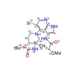 COCC(=O)Nc1c[nH]c2ncc(Br)c(N3CCCC(C)(NC(=O)OC(C)(C)C)C3)c12